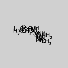 CNc1nc(N)nc2c1ncn2[C@@H]1O[C@H](CO[PH](O)(O)OCCSC(=O)C(C)(C)C)CC1=N